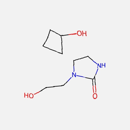 O=C1NCCN1CCO.OC1CCC1